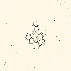 COC(=O)CC(O)(F)C(=O)OC1C(OC)=C2CCC3[C@@H]1c1cc4c(cc1CCN3CC2)OCO4